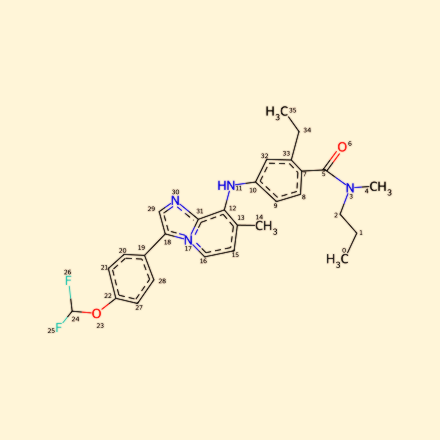 CCCN(C)C(=O)c1ccc(Nc2c(C)ccn3c(-c4ccc(OC(F)F)cc4)cnc23)cc1CC